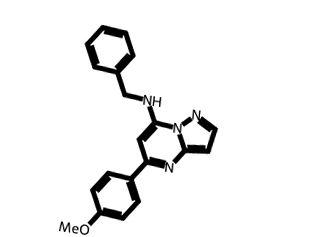 COc1ccc(-c2cc(NCc3ccccc3)n3nccc3n2)cc1